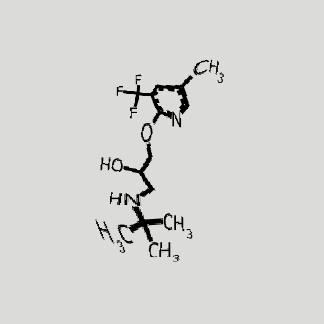 Cc1cnc(OCC(O)CNC(C)(C)C)c(C(F)(F)F)c1